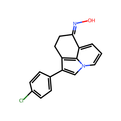 O/N=C1/CCc2c(-c3ccc(Cl)cc3)cn3cccc1c23